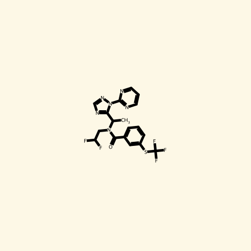 CC(c1ncnn1-c1ncccn1)N(CC(F)F)C(=O)c1cccc(SC(F)(F)F)c1